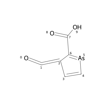 O=C=C1C=C[As]=C1C(=O)O